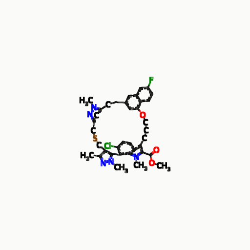 COC(=O)c1c2c3ccc(Cl)c(c3n1C)-c1c(c(C)nn1C)CSCc1cc(n(C)n1)CCc1cc(c3ccc(F)cc3c1)OCCC2